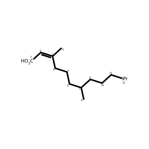 CC(=CC(=O)O)CCCC(C)CCCC(C)C